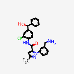 NCc1cccc(-n2nc(C(F)(F)F)cc2C(=O)Nc2ccc(C(O)c3ccccc3)cc2Cl)c1